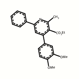 CCOC(=O)c1c(-c2ccc(OC)c(OC)c2)cc(-c2ccccc2)nc1C